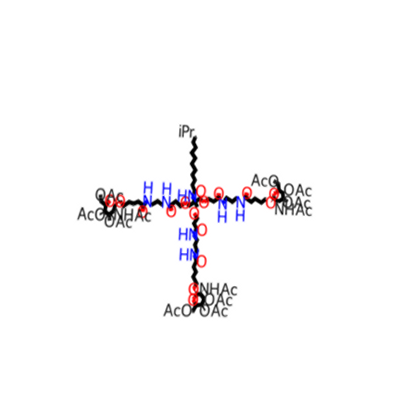 CC(=O)NC1C(OC(C)=O)[C@@H](OC(C)=O)C(COC(C)=O)O[C@H]1OCCCCC(=O)NCCCNC(=O)CCOCC(COCCC(=O)NCCCNC(=O)CCCCO[C@@H]1OC(COC(C)=O)[C@H](OC(C)=O)C(OC(C)=O)C1NC(C)=O)(COCCC(=O)NCCCNC(=O)CCCCO[C@@H]1OC(COC(C)=O)[C@H](OC(C)=O)C(OC(C)=O)[C@H]1NC(C)=O)NC(=O)CCCCCCCCCCC(C)C